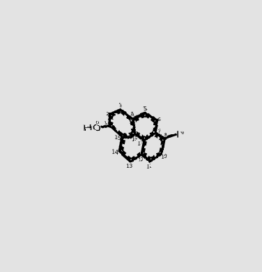 Oc1ccc2ccc3c(I)ccc4ccc1c2c43